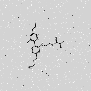 C=C(C)C(=O)OCCOc1cc(CCCO)ccc1-c1ccc(CCC)cc1C